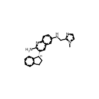 Cn1ccnc1CNc1ccc2nc(N)c([C@@H]3CCc4ccccc43)cc2c1